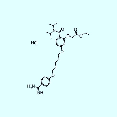 CCOC(=O)COc1cc(OCCCCCOc2ccc(C(=N)N)cc2)ccc1C(=O)N(C(C)C)C(C)C.Cl